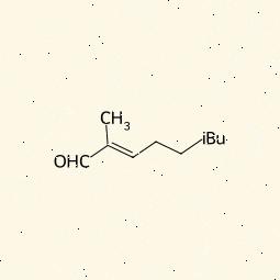 [CH2]CC(C)CC/C=C(\C)C=O